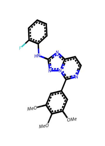 COc1cc(-c2nccc3nc(Nc4ccccc4F)nn23)cc(OC)c1OC